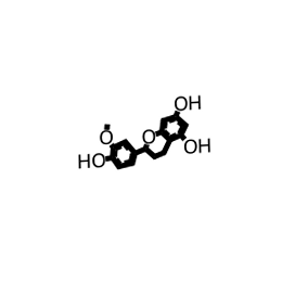 COc1cc(C2CCc3c(O)cc(O)cc3O2)ccc1O